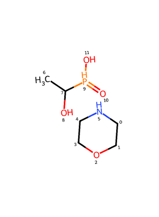 C1COCCN1.CC(O)[PH](=O)O